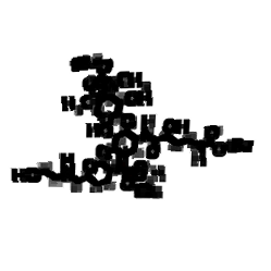 CN(C(=O)OC(C)(C)C)[C@@H]1[C@@H](O)[C@@H](O[C@@H]2[C@@H](O)[C@H](O[C@H]3O[C@H](CNCCO)CC[C@H]3NC(=O)O)[C@@H](NC(=O)OC(C)(C)C)C[C@H]2NC(=O)C(O)CCNC(=O)OC(C)(C)C)OC[C@]1(C)O